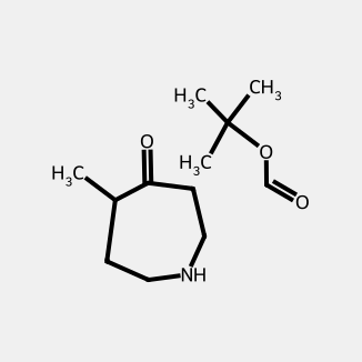 CC(C)(C)OC=O.CC1CCNCCC1=O